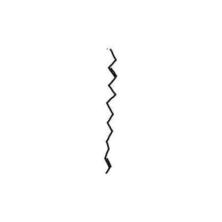 [CH2]CC=CCCCCCCCCC=CC